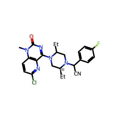 CCC1CN(C(C#N)c2ccc(F)cc2)[C@@H](CC)CN1c1nc(=O)n(C)c2ccc(Cl)nc12